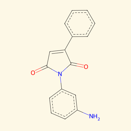 Nc1cccc(N2C(=O)C=C(c3ccccc3)C2=O)c1